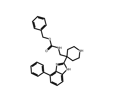 O=C(NCC1(c2nc3c(-c4ccccc4)cccc3[nH]2)CCNCC1)OCc1ccccc1